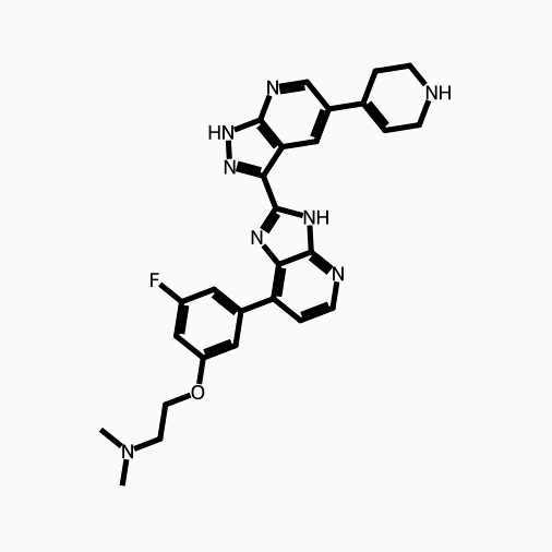 CN(C)CCOc1cc(F)cc(-c2ccnc3[nH]c(-c4n[nH]c5ncc(C6=CCNCC6)cc45)nc23)c1